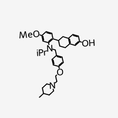 COc1ccc(C2CCc3cc(O)ccc3C2)c(N(Cc2ccc(OCCN3CCC(C)CC3)cc2)C(C)C)c1